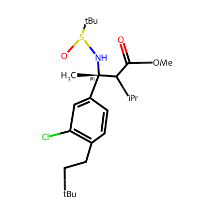 COC(=O)C(C(C)C)[C@@](C)(N[S+]([O-])C(C)(C)C)c1ccc(CCC(C)(C)C)c(Cl)c1